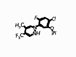 CC1=CN(c2cc(OC(C)C)c(Cl)cc2F)NC=C1C(F)(F)F